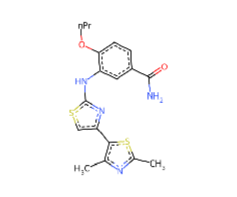 CCCOc1ccc(C(N)=O)cc1Nc1nc(-c2sc(C)nc2C)cs1